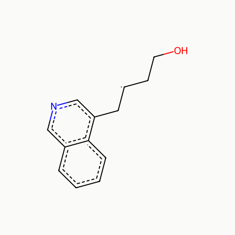 OCC[CH]Cc1cncc2ccccc12